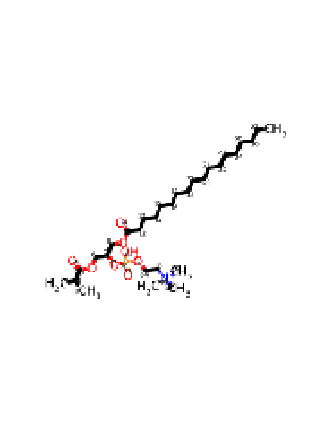 C=C(C)C(=O)OCC(COC(=O)CCCCCCCCCCCCCCCCC)OP(=O)(O)OCC[N+](C)(C)C